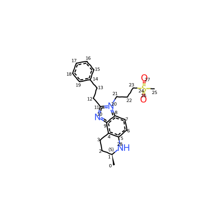 C[C@H]1CCc2c(ccc3c2nc(CCc2ccccc2)n3CCCS(C)(=O)=O)N1